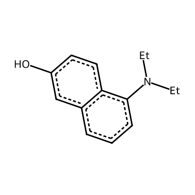 CCN(CC)c1cccc2cc(O)ccc12